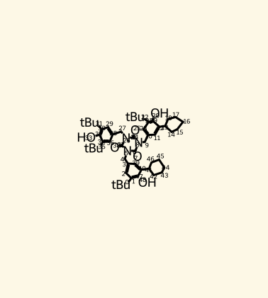 CC(C)(C)c1cc(Cn2c(=O)n(Cc3cc(C4CCCCC4)c(O)c(C(C)(C)C)c3)c(=O)n(Cc3cc(C(C)(C)C)c(O)c(C(C)(C)C)c3)c2=O)cc(C2CCCCC2)c1O